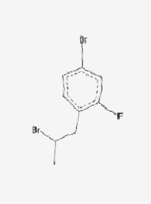 CC(Br)Cc1ccc(Br)cc1F